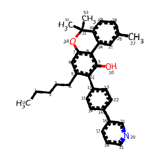 CCCCCc1cc2c(c(O)c1-c1ccc(-c3cccnc3)cc1)-c1cc(C)ccc1C(C)(C)O2